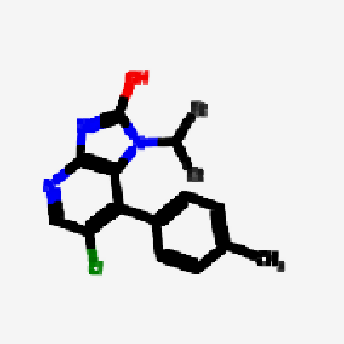 CCC(CC)n1c(O)nc2ncc(Cl)c(-c3ccc(C)cc3)c21